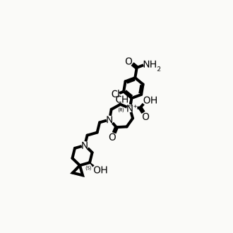 C[C@@H]1CN(CCCN2CCC3(CC3)[C@H](O)C2)C(=O)CC[N+]1(C(=O)O)c1ccc(C(N)=O)cc1Cl